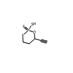 C#CC1CCSP(=S)(S)O1